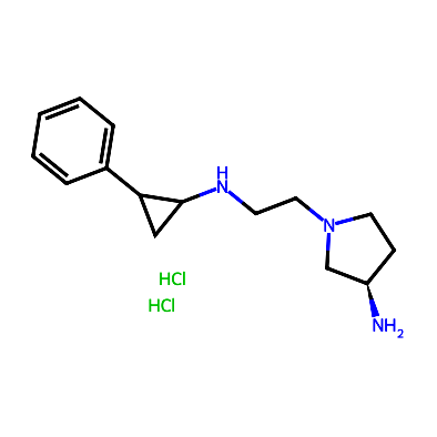 Cl.Cl.N[C@@H]1CCN(CCNC2CC2c2ccccc2)C1